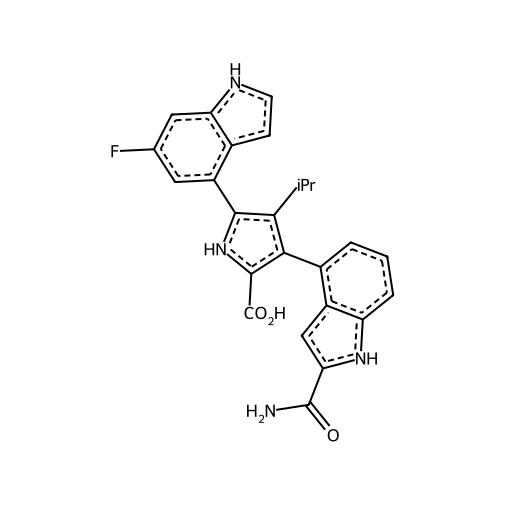 CC(C)c1c(-c2cc(F)cc3[nH]ccc23)[nH]c(C(=O)O)c1-c1cccc2[nH]c(C(N)=O)cc12